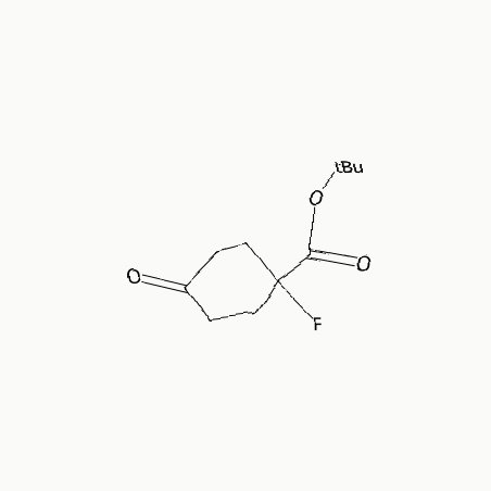 CC(C)(C)OC(=O)C1(F)CCC(=O)CC1